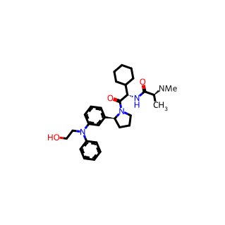 CN[C@@H](C)C(=O)N[C@H](C(=O)N1CCC[C@H]1c1cccc(N(CCO)c2ccccc2)c1)C1CCCCC1